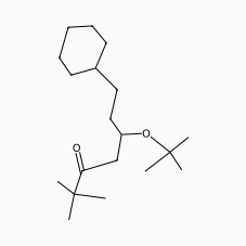 CC(C)(C)OC(CCC1CCCCC1)CC(=O)C(C)(C)C